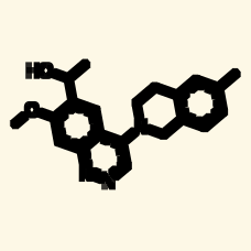 COc1cc2nncc(N3CCc4cc(C)ccc4C3)c2cc1C(C)O